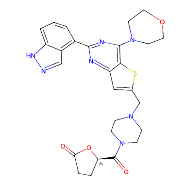 O=C1CC[C@H](C(=O)N2CCN(Cc3cc4nc(-c5cccc6[nH]ncc56)nc(N5CCOCC5)c4s3)CC2)O1